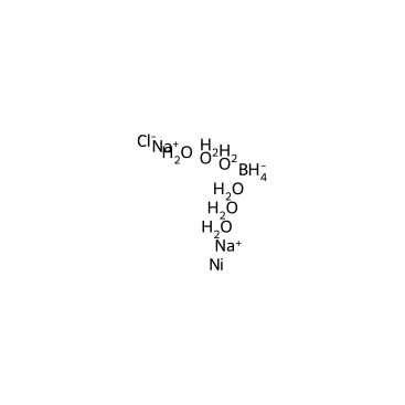 O.O.O.O.O.O.[BH4-].[Cl-].[Na+].[Na+].[Ni]